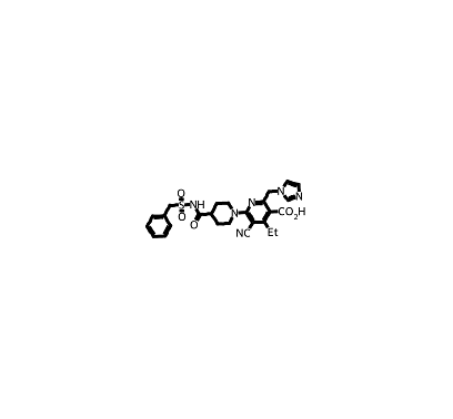 CCc1c(C#N)c(N2CCC(C(=O)NS(=O)(=O)Cc3ccccc3)CC2)nc(Cn2ccnc2)c1C(=O)O